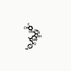 CCN1CCN(C(=O)c2cc(C)c(/C=C3\C(=O)Nc4ncnc(Nc5ccc(F)c(Cl)c5)c43)[nH]2)CC1